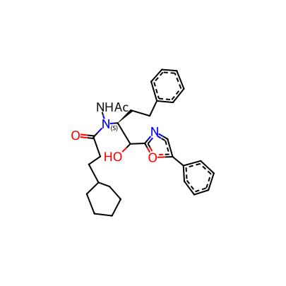 CC(=O)NN(C(=O)CCC1CCCCC1)[C@@H](CCc1ccccc1)C(O)c1ncc(-c2ccccc2)o1